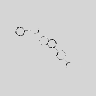 CC(C)(C)OC(=O)N1CC=C(c2ccc3c(c2)CCN(C(=O)OCc2ccccc2)C3)CC1